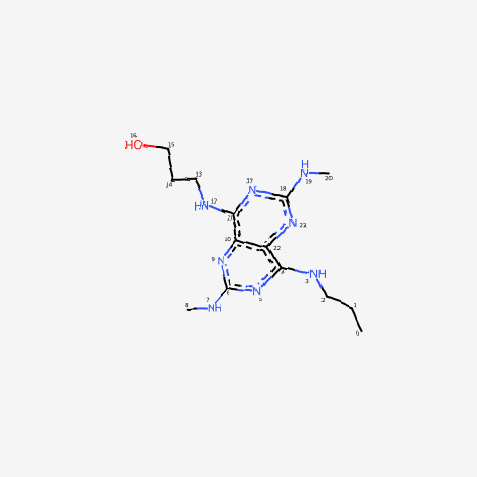 CCCNc1nc(NC)nc2c(NCCCO)nc(NC)nc12